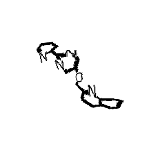 c1ccc(-c2ncc(OCc3ccc4ccccc4n3)cn2)nc1